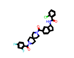 O=C(NC1CCc2ccc(C(=O)N3CCC4(CC3)CCN(C(=O)c3ccc(F)cc3F)CC4)cc21)c1ccccc1Cl